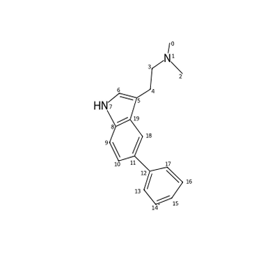 CN(C)CCc1c[nH]c2ccc(-c3c[c]ccc3)cc12